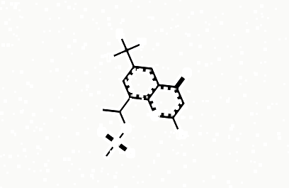 CC(OS(C)(=O)=O)c1cc(C(F)(F)F)cc2c(=O)cc(Br)oc12